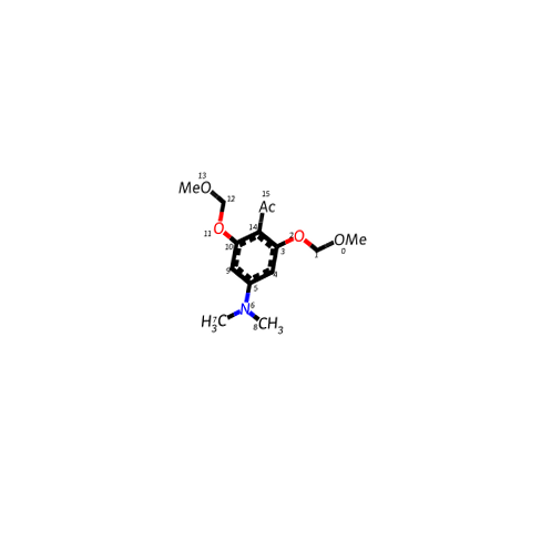 COCOc1cc(N(C)C)cc(OCOC)c1C(C)=O